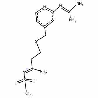 NC(N)=Nc1cc(CSCC/C(N)=N/S(=O)(=O)C(F)(F)F)ccn1